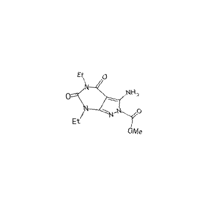 CCn1c(=O)c2c(N)n(C(=O)OC)nc2n(CC)c1=O